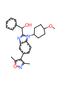 COC1CCC(n2c(C(O)c3ccccc3)nc3cc(-c4c(C)noc4C)ccc32)CC1